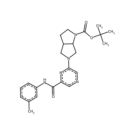 Cc1cccc(NC(=O)c2cncc(N3CC4CCN(C(=O)OC(C)(C)C)C4C3)n2)c1